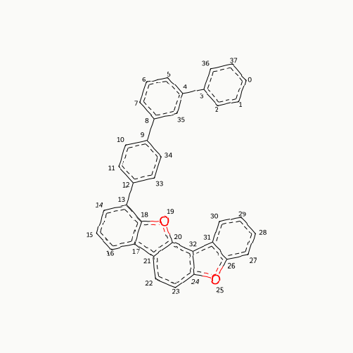 c1ccc(-c2cccc(-c3ccc(-c4cccc5c4oc4c5ccc5oc6ccccc6c54)cc3)c2)cc1